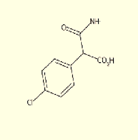 [NH]C(=O)C(C(=O)O)c1ccc(Cl)cc1